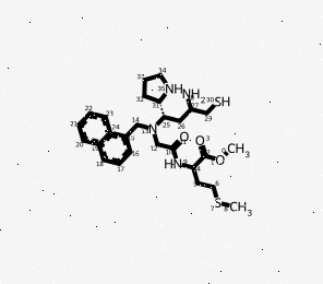 COC(=O)C(CCSC)NC(=O)CN(Cc1cccc2ccccc12)C(CC(N)CS)[C@@H]1CCCN1